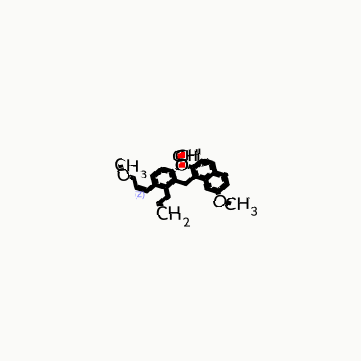 C=CCc1c(/C=C\COC)ccc(OC)c1Cc1c(OC)ccc2ccc(OC)cc12